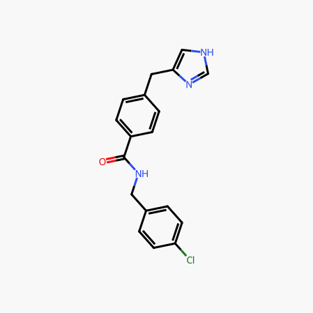 O=C(NCc1ccc(Cl)cc1)c1ccc(Cc2c[nH]cn2)cc1